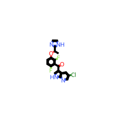 CC(Oc1ccc(F)c(C(=O)c2c[nH]c3ncc(Cl)cc23)c1F)c1ncc[nH]1